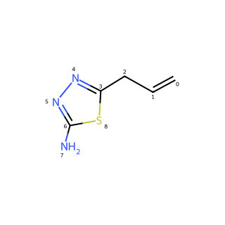 C=CCc1nnc(N)s1